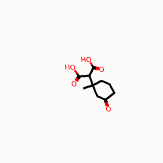 CC1(C(C(=O)O)C(=O)O)CCCC(=O)C1